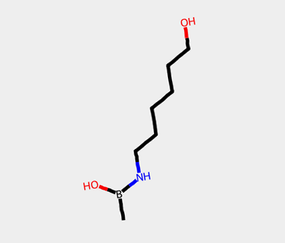 CB(O)NCCCCCCO